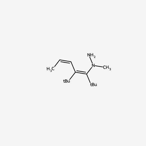 C/C=C\C(=C(/N(C)N)C(C)(C)C)C(C)(C)C